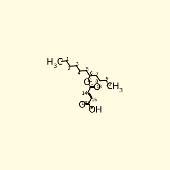 CCCCCCC(CCCC)OC(=O)C=CC(=O)O